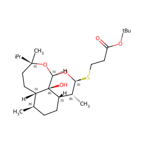 CC(C)[C@]1(C)CC[C@H]2[C@H](C)CC[C@H]3[C@@H](C)[C@H](SCCC(=O)OC(C)(C)C)O[C@H](O1)[C@]32O